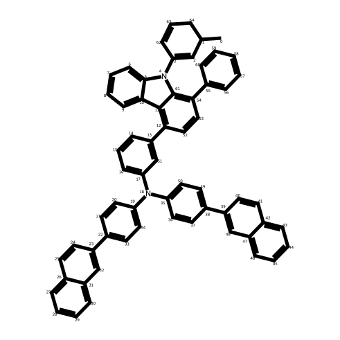 CC1C=C(n2c3ccccc3c3c(-c4cccc(N(c5ccc(-c6ccc7ccccc7c6)cc5)c5ccc(-c6ccc7ccccc7c6)cc5)c4)ccc(-c4ccccc4)c32)C=CC1